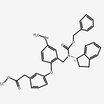 CBc1ccc(Oc2cccc(CC(=O)OC)c2)c(CN(C(=O)OCc2ccccc2)[C@H]2CCc3ccccc32)c1